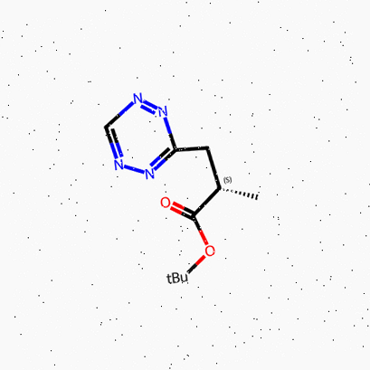 C[C@@H](Cc1nncnn1)C(=O)OC(C)(C)C